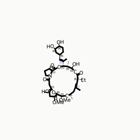 CC[C@@H]1/C=C(\C)C[C@H](C)C[C@H](OC)[C@H]2O[C@@](O)(CC(=O)N3CCC[C@H]3C(=O)O[C@H](/C(C)=C/[C@@H]3CC[C@@H](O)[C@H](O)C3)[C@H](C)[C@@H](O)CC1=O)[C@H](C)C[C@@H]2OC